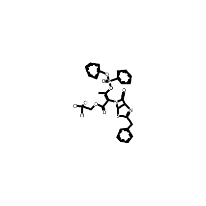 CC(OP(=O)(Oc1ccccc1)c1ccccc1)=C(C(=O)OCC(Cl)(Cl)Cl)N1C(=O)C2N=C(Cc3ccccc3)SC21